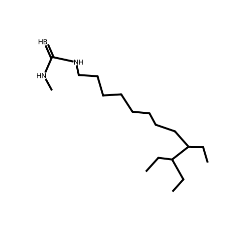 B=C(NC)NCCCCCCCCC(CC)C(CC)CC